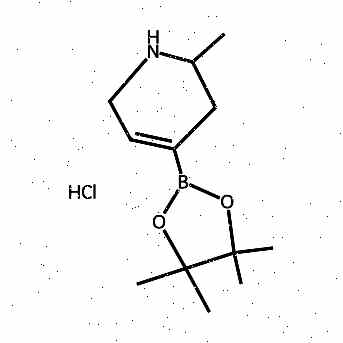 CC1CC(B2OC(C)(C)C(C)(C)O2)=CCN1.Cl